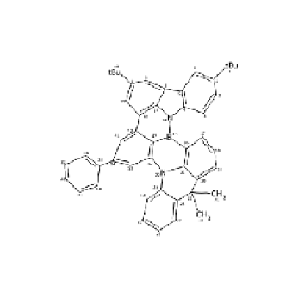 CC(C)(C)c1ccc2c(c1)c1cc(C(C)(C)C)cc3c1n2B1c2cccc4c2N(c2ccccc2C4(C)C)c2cc(-c4ccccc4)cc-3c21